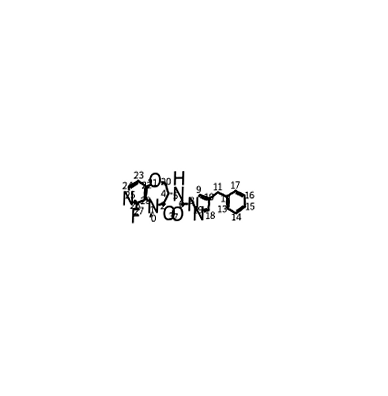 CN1C(=O)[C@@H](NC(=O)n2cc(Cc3ccccc3)cn2)COc2ccnc(F)c21